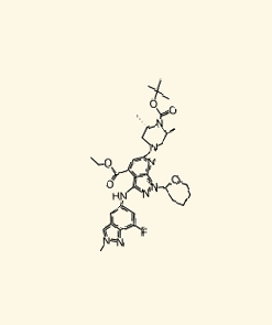 CCOC(=O)c1cc(N2C[C@H](C)N(C(=O)OC(C)(C)C)[C@@H](C)C2)nc2c1c(Nc1cc(F)c3nn(C)cc3c1)nn2C1CCCCO1